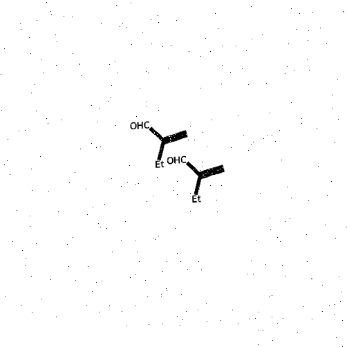 C=C(C=O)CC.C=C(C=O)CC